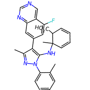 Cc1ccccc1-n1nc(C)c(-c2cc(F)c3cncnc3c2)c1NC1(C)C=CC=CC1C(=O)O